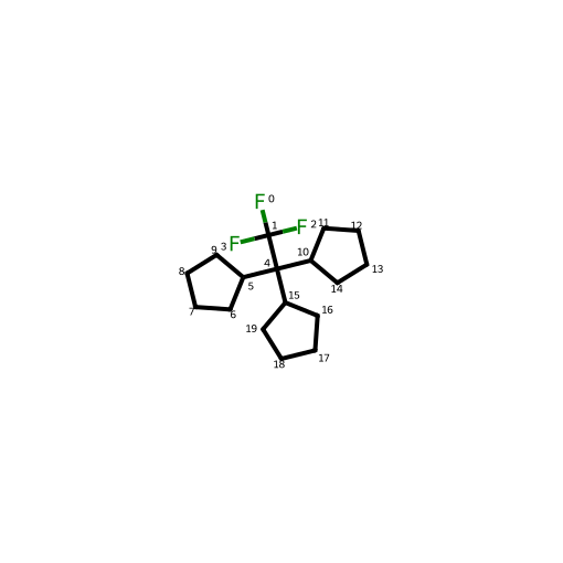 FC(F)(F)C(C1CCCC1)(C1CCCC1)C1CCCC1